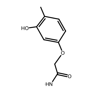 Cc1ccc(OCC([NH])=O)cc1O